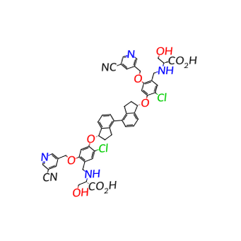 N#Cc1cncc(COc2cc(O[C@H]3CCc4c(-c5cccc6c5CC[C@@H]6Oc5cc(OCc6cncc(C#N)c6)c(CN[C@@H](CO)C(=O)O)cc5Cl)cccc43)c(Cl)cc2CN[C@@H](CO)C(=O)O)c1